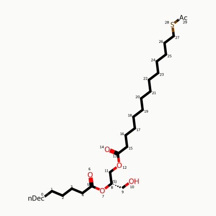 CCCCCCCCCCCCCCC(=O)O[C@@H](CO)COC(=O)CCCCCCCCCCCCCSC(C)=O